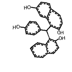 Oc1ccc(C(c2c(O)ccc3ccccc23)c2c(O)ccc3ccc(O)cc23)cc1